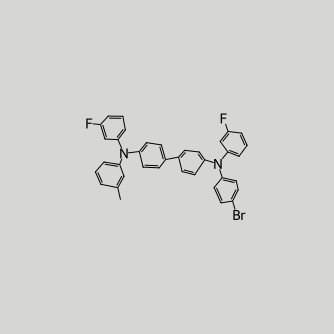 Cc1cccc(N(c2ccc(-c3ccc(N(c4ccc(Br)cc4)c4cccc(F)c4)cc3)cc2)c2cccc(F)c2)c1